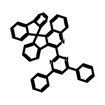 c1ccc(-c2cc(-c3ccccc3)nc(-c3nc4ccccc4c4c3-c3ccccc3C43c4ccccc4-c4ccccc43)n2)cc1